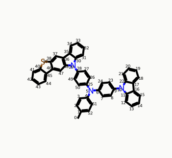 Cc1ccc(N(c2ccc(-n3c4ccccc4c4ccccc43)cc2)c2ccc(-n3c4ccccc4c4cc5sc6ccccc6c5cc43)cc2)cc1